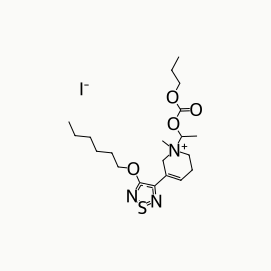 CCCCCCOc1nsnc1C1=CCC[N+](C)(C(C)OC(=O)OCCC)C1.[I-]